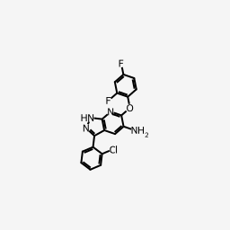 Nc1cc2c(-c3ccccc3Cl)n[nH]c2nc1Oc1ccc(F)cc1F